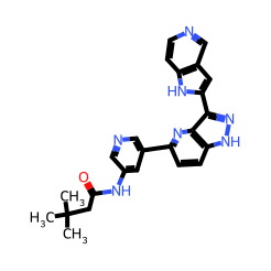 CC(C)(C)CC(=O)Nc1cncc(-c2ccc3[nH]nc(-c4cc5cnccc5[nH]4)c3n2)c1